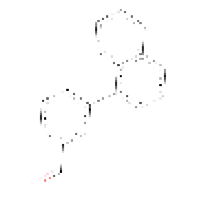 O=[C]c1cccc(-c2cccc3ccccc23)c1